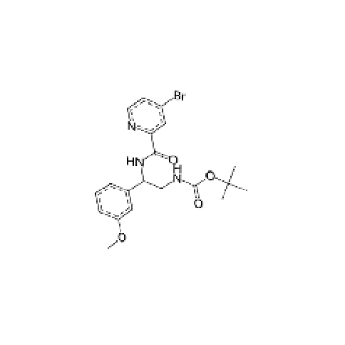 COc1cccc(C(CNC(=O)OC(C)(C)C)NC(=O)c2cc(Br)ccn2)c1